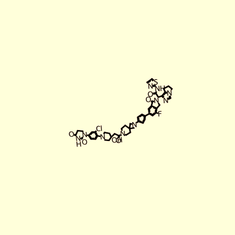 O=C1CCN(c2ccc(N3CCC(O)(CC(=O)N4CCC5(CC4)CN(c4ccc(-c6cc(F)c7c(c6)C(=O)N(C(C(=O)Nc6nccs6)c6ncn8c6CCC8)C7)cc4)C5)CC3)c(Cl)c2)C(=O)N1